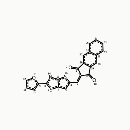 O=C1C(=Cc2cc3sc(-c4ccco4)nc3s2)C(=O)c2cc3ccccc3cc21